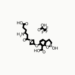 N[C@@H](CCC(=O)O)CC(=O)N1CC(Oc2ccc3c(c2C(=O)O)OB(O)CC3)C1.O=C(O)C(F)(F)F